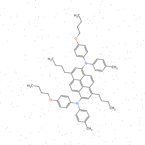 CCCCOc1ccc(N(c2ccc(C)cc2)c2cc(CCCC)c3ccc4c(N(c5ccc(C)cc5)c5ccc(OCCCC)cc5)cc(CCCC)c5ccc2c3c54)cc1